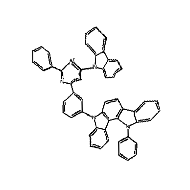 c1ccc(-c2nc(-c3cccc(-n4c5ccccc5c5c4ccc4c6ccccc6n(-c6ccccc6)c45)c3)cc(-n3c4ccccc4c4ccccc43)n2)cc1